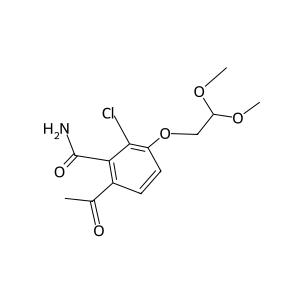 COC(COc1ccc(C(C)=O)c(C(N)=O)c1Cl)OC